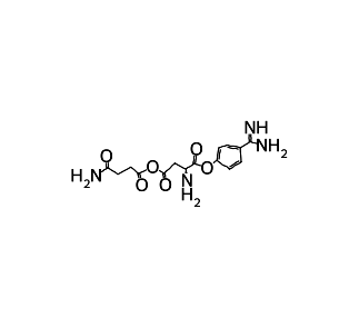 N=C(N)c1ccc(OC(=O)[C@@H](N)CC(=O)OC(=O)CCC(N)=O)cc1